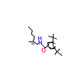 CCCC[C@H](C)CNC(=O)c1cc(C(C)(C)C)cc(C(C)(C)C)c1